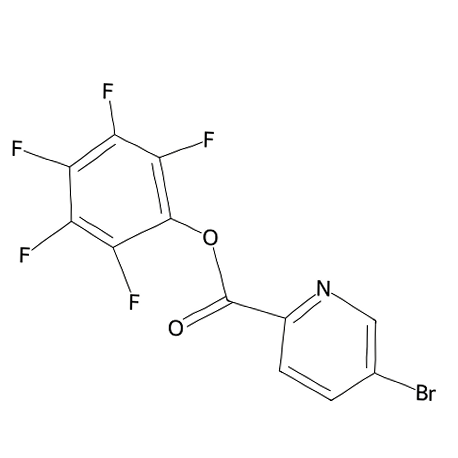 O=C(Oc1c(F)c(F)c(F)c(F)c1F)c1ccc(Br)cn1